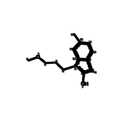 COCCCn1c(O)nc2ccc(C)cc21